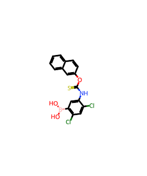 OB(O)c1cc(NC(=S)Oc2ccc3ccccc3c2)c(Cl)cc1Cl